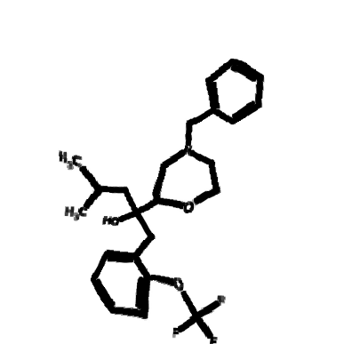 CC(C)CC(O)(Cc1ccccc1OC(F)(F)F)C1CN(Cc2ccccc2)CCO1